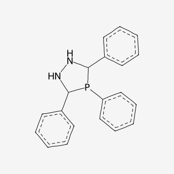 c1ccc(C2NNC(c3ccccc3)P2c2ccccc2)cc1